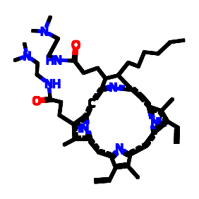 C=CC1=C(C)c2cc3[nH]c(cc4nc(cc5[nH]c(cc1n2)c(C)c5CCC(=O)NCCN(C)C)C(CCC(=O)NCCN(C)C)C4CCCCCC)c(C)c3C=C